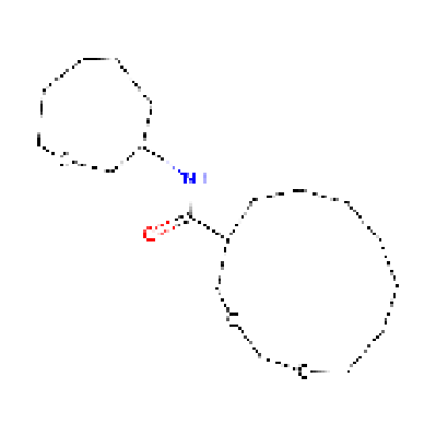 O=C(NC1CCCCCCC1)C1CCCCCCCCCCC1